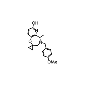 COc1ccc(CN2CC3(CC3)Oc3ccc(O)nc3C2C)cc1